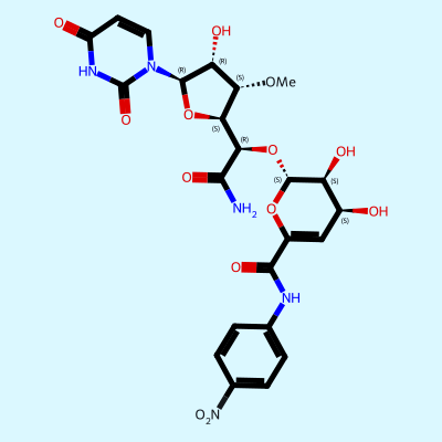 CO[C@H]1[C@@H](O)[C@H](n2ccc(=O)[nH]c2=O)O[C@@H]1[C@@H](O[C@H]1OC(C(=O)Nc2ccc([N+](=O)[O-])cc2)=C[C@H](O)[C@@H]1O)C(N)=O